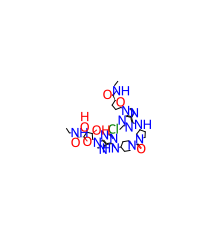 CCNC(=O)[C@@H]1CC[C@H](n2cnc3c(N[C@@H]4CCN(C(=O)N5CCC(Nc6nc(Cl)nc7c6ncn7[C@@H]6O[C@H](C(=O)NCC)[C@@H](O)[C@H]6O)CC5)C4)nc(C)nc32)O1